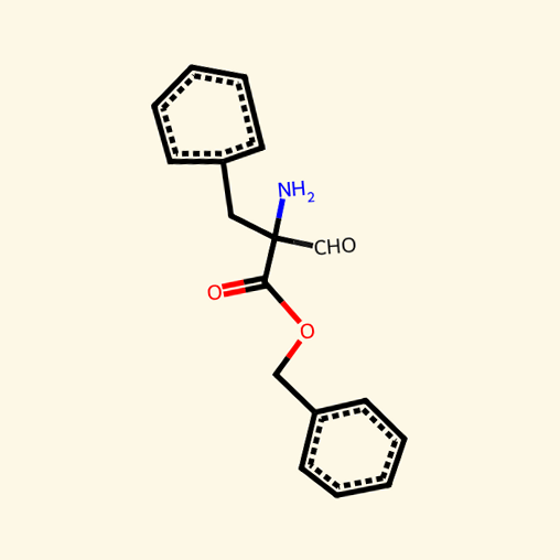 NC(C=O)(Cc1ccccc1)C(=O)OCc1ccccc1